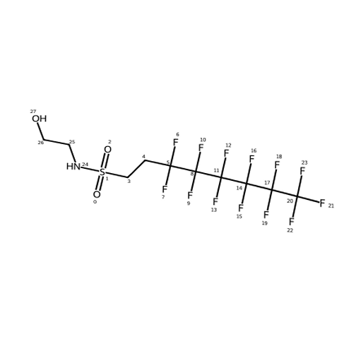 O=S(=O)(CCC(F)(F)C(F)(F)C(F)(F)C(F)(F)C(F)(F)C(F)(F)F)NCCO